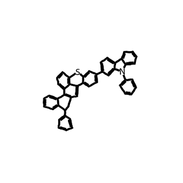 c1ccc(C2Cc3cc4c5c(cccc5c3-c3ccccc32)Sc2cc(-c3ccc5c6ccccc6n(-c6ccccc6)c5c3)ccc2-4)cc1